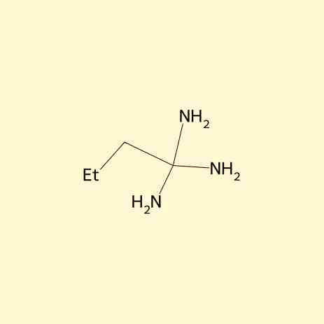 [CH2]CCC(N)(N)N